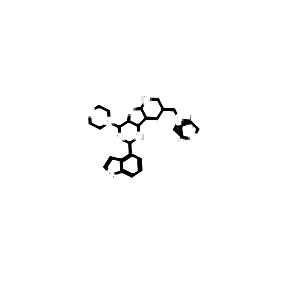 c1cc(C2NC3C4CC(CN5C[C@@H]6C[C@H]5CO6)CNC4OC3C(N3CCOCC3)N2)c2cc[nH]c2c1